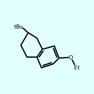 CCOc1ccc2c(c1)CC(C(C)(C)C)CC2